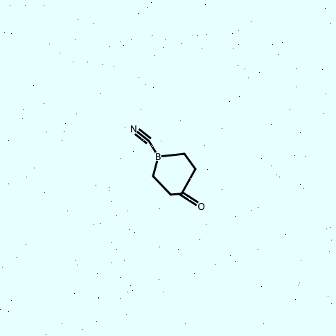 N#CB1CCC(=O)CC1